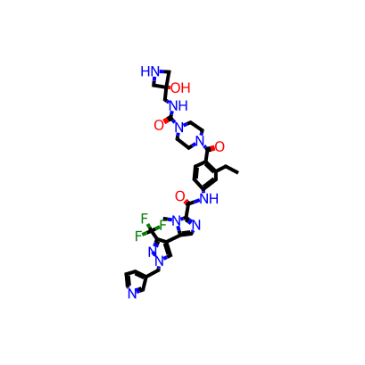 CCc1cc(NC(=O)c2ncc(-c3cn(Cc4cccnc4)nc3C(F)(F)F)n2C)ccc1C(=O)N1CCN(C(=O)NCC2(O)CNC2)CC1